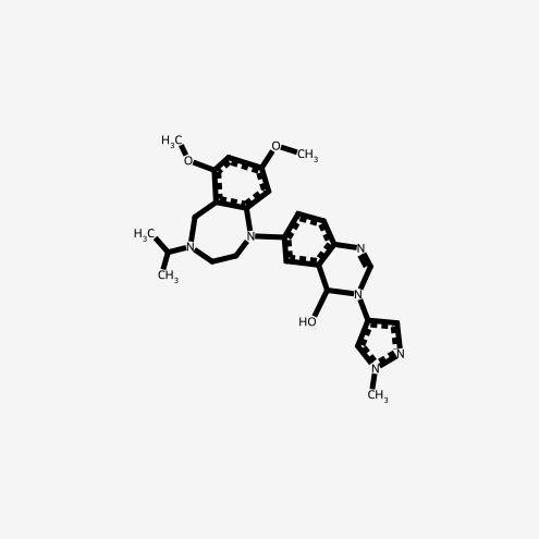 COc1cc(OC)c2c(c1)N(c1ccc3c(c1)C(O)N(c1cnn(C)c1)C=N3)CCN(C(C)C)C2